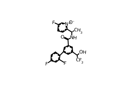 C[C@@H](NC(=O)c1cc(-c2ccc(F)cc2F)cc(C(O)C(F)(F)F)c1)c1ccc(F)c[n+]1[O-]